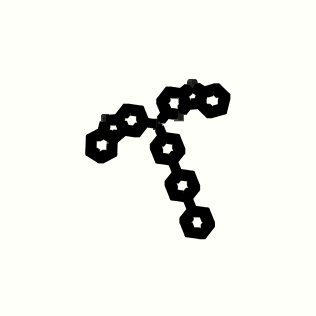 c1ccc(-c2ccc(-c3ccc(N(c4ccc5sc6ccccc6c5c4)c4ccc5oc6ccccc6c5n4)cc3)cc2)cc1